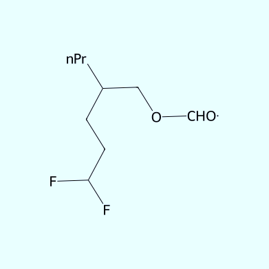 CCCC(CCC(F)F)CO[C]=O